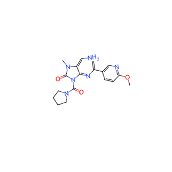 C=C(/N=C1\C(=C/N)N(C)C(=O)N1C(=O)N1CCCC1)c1ccc(OC)nc1